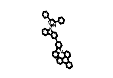 c1ccc(-c2cc(-c3ccccc3)nc(-n3c4ccccc4c4cc(-c5ccc6c(c5)c5ccccc5n6-c5cccc6c7ccccc7c7ccccc7c56)ccc43)n2)cc1